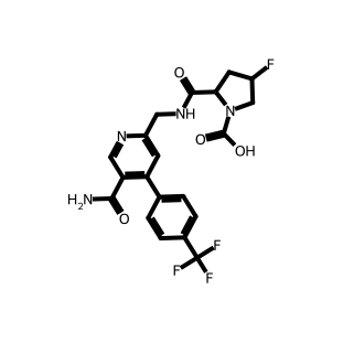 NC(=O)c1cnc(CNC(=O)C2CC(F)CN2C(=O)O)cc1-c1ccc(C(F)(F)F)cc1